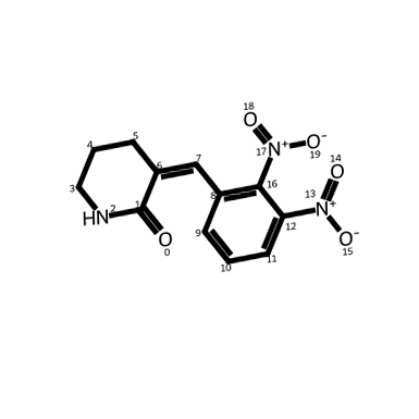 O=C1NCCCC1=Cc1cccc([N+](=O)[O-])c1[N+](=O)[O-]